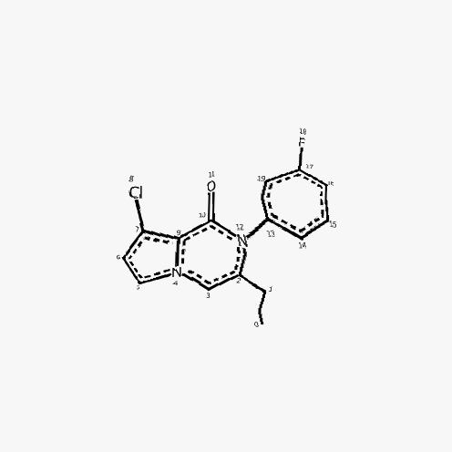 CCc1cn2ccc(Cl)c2c(=O)n1-c1cccc(F)c1